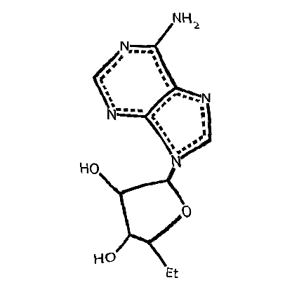 CCC1OC(n2cnc3c(N)ncnc32)C(O)C1O